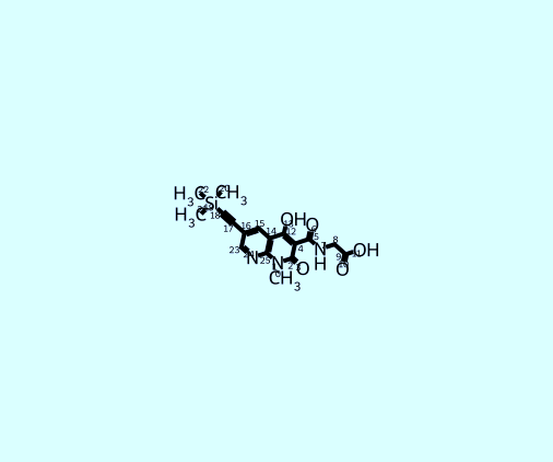 Cn1c(=O)c(C(=O)NCC(=O)O)c(O)c2cc(C#C[Si](C)(C)C)cnc21